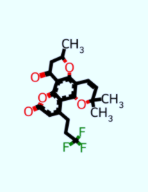 CC1CC(=O)c2c(c3c(c4c(CCC(F)(F)F)cc(=O)oc24)OC(C)(C)C=C3)O1